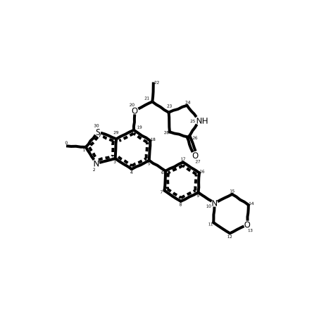 Cc1nc2cc(-c3ccc(N4CCOCC4)cc3)cc(OC(C)C3CNC(=O)C3)c2s1